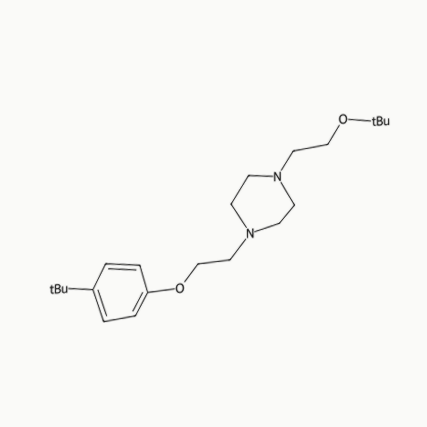 CC(C)(C)OCCN1CCN(CCOc2ccc(C(C)(C)C)cc2)CC1